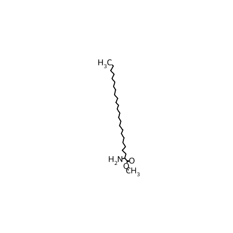 CCCCCCCCCCCCCCCCCCCCCCCCC(N)C(=O)OC